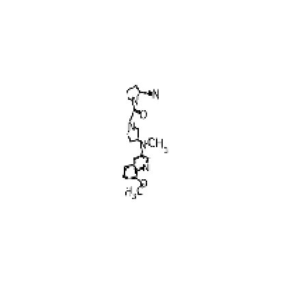 COc1cccc2cc(N(C)C3CCN(CC(=O)N4CCCC4C#N)C3)cnc12